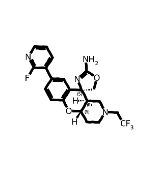 NC1=N[C@]2(CO1)c1cc(-c3cccnc3F)ccc1O[C@H]1CCN(CC(F)(F)F)C[C@@H]12